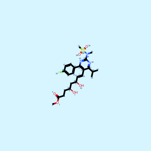 COC(=O)CC[C@H](O)C[C@H](O)/C=C/c1c(-c2ccc(F)cc2)nc(N(C)S(C)(=O)=O)nc1C(C)C